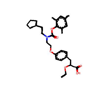 CCOC(Cc1ccc(OCCN(CCC2CCCC2)C(=O)Oc2c(C)cc(C)cc2C)cc1)C(=O)O